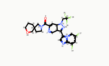 O=C(C1=CC2C(C=N1)C(c1cnc3c(F)cc(F)cn13)=NN2CC(F)(F)F)N1CCC2(CCCOC2)C1